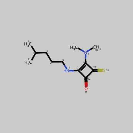 CC(C)CCCNc1c(N(C)C)c(=S)c1=O